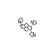 c1ccc(-c2ccc3ccc4c(-c5cccnc5)cc(-c5ccccn5)c5ccc2c3c45)nc1